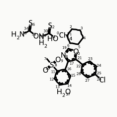 C.C1CCCCC1.CS(=O)(=O)c1ccccc1-c1ncoc1-c1ccc(Cl)cc1.NC(O)=S.NC(O)=S.O